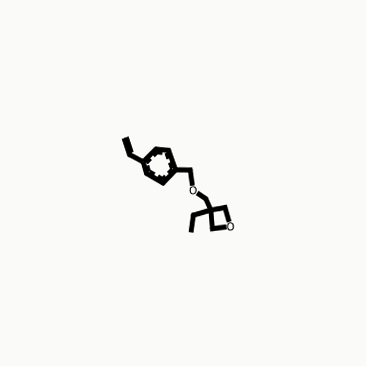 C=Cc1ccc(COCC2(CC)COC2)cc1